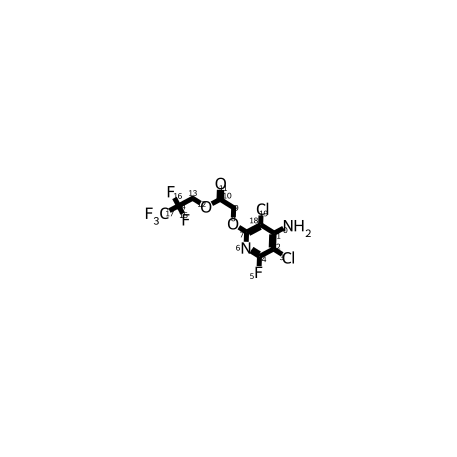 Nc1c(Cl)c(F)nc(OCC(=O)OCC(F)(F)C(F)(F)F)c1Cl